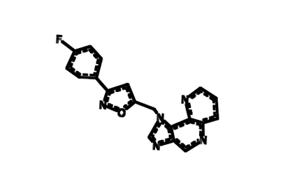 Fc1ccc(-c2cc(Cn3cnc4cnc5cccnc5c43)on2)cc1